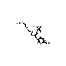 CCCCCCCCCCCCCCOC[C@H](CO[Si](C)(C)C(C)(C)C)Oc1ccc(C#N)nc1